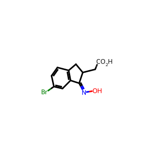 O=C(O)CC1Cc2ccc(Br)cc2/C1=N/O